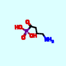 NCCCC(=O)P(=O)(O)O